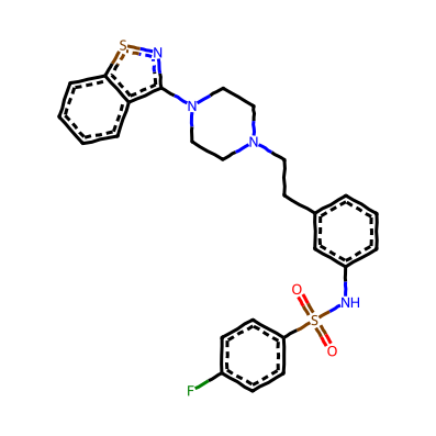 O=S(=O)(Nc1cccc(CCN2CCN(c3nsc4ccccc34)CC2)c1)c1ccc(F)cc1